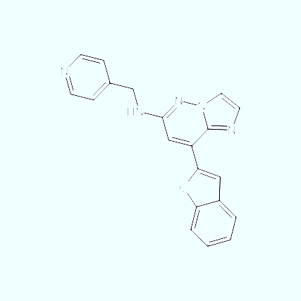 c1ccc2oc(-c3cc(NCc4ccncc4)nn4ccnc34)cc2c1